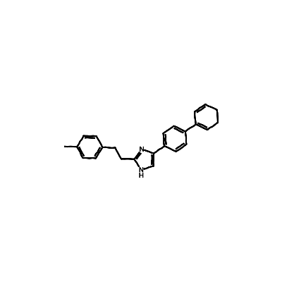 Cc1ccc(CCc2nc(-c3ccc(C4=CCCC=C4)cc3)c[nH]2)cc1